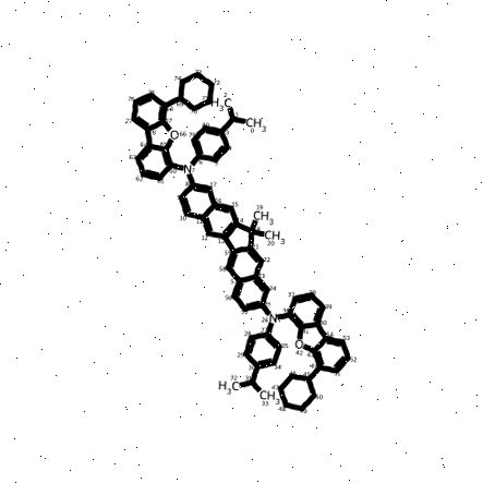 CC(C)c1ccc(N(c2ccc3cc4c(cc3c2)C(C)(C)c2cc3cc(N(c5ccc(C(C)C)cc5)c5cccc6c5oc5c(C7CCCCC7)cccc56)ccc3cc2-4)c2cccc3c2oc2c(C4CCCCC4)cccc23)cc1